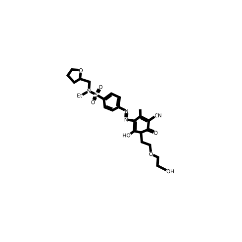 CCN(CC1CCCO1)S(=O)(=O)c1ccc(/N=N/C2=C(O)C(CCOCCO)C(=O)C(C#N)=C2C)cc1